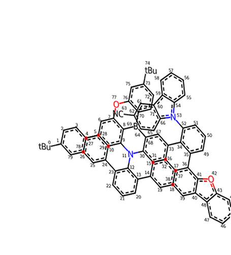 CC(C)(C)c1ccc(-c2cc3c4c(c2)N(c2c(-c5ccccc5)cccc2-c2ccccc2)c2ccc(-c5c(-c6cccc7c6oc6ccccc67)cccc5-n5c6ccccc6c6cc(C#N)ccc65)cc2B4c2ccc(C(C)(C)C)cc2O3)cc1